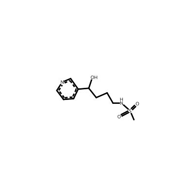 CS(=O)(=O)NCCCC(O)c1cccnc1